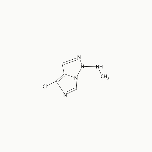 CNn1ncc2c(Cl)ncn21